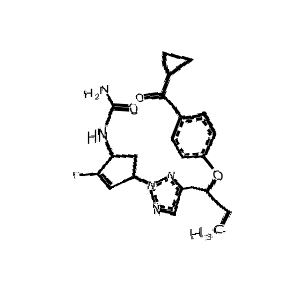 CCC(Oc1ccc(C(=O)C2CC2)cc1)c1cnn(C2C=C(F)C(NC(N)=O)C2)n1